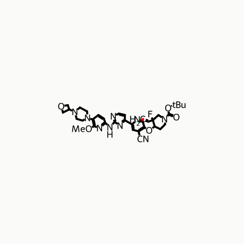 C=CC1(F)CN(C(=O)OC(C)(C)C)CCC1Oc1cnc(-c2ccnc(Nc3ccc(N4CCN(C5COC5)CC4)c(OC)n3)n2)cc1C#N